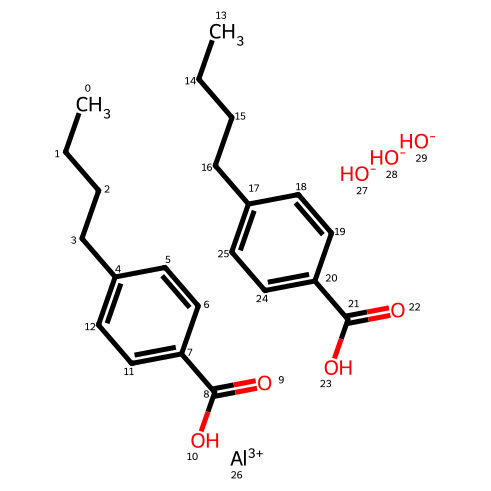 CCCCc1ccc(C(=O)O)cc1.CCCCc1ccc(C(=O)O)cc1.[Al+3].[OH-].[OH-].[OH-]